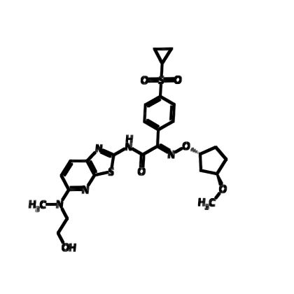 CO[C@@H]1CC[C@@H](O/N=C(/C(=O)Nc2nc3ccc(N(C)CCO)nc3s2)c2ccc(S(=O)(=O)C3CC3)cc2)C1